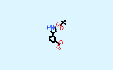 COC(=O)c1cccc(C2CNC(OC(=O)C(C)(C)C)C2)c1